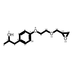 C[C](O)Cc1ccc(OCCOCC2CO2)cc1